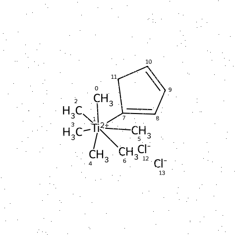 [CH3][Ti+2]([CH3])([CH3])([CH3])([CH3])([CH3])[C]1=CC=CC1.[Cl-].[Cl-]